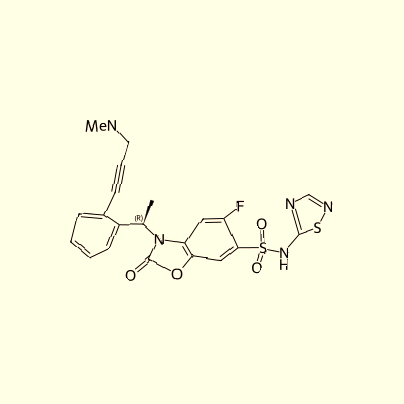 CNCC#Cc1ccccc1[C@@H](C)n1c(=O)oc2cc(S(=O)(=O)Nc3ncns3)c(F)cc21